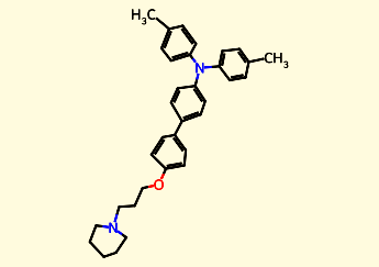 Cc1ccc(N(c2ccc(C)cc2)c2ccc(-c3ccc(OCCCN4CCCCC4)cc3)cc2)cc1